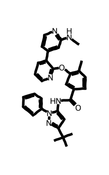 CNc1cc(-c2cccnc2Oc2cc(C(=O)Nc3cc(C(C)(C)C)nn3-c3ccccc3)ccc2C)ccn1